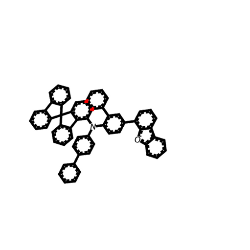 c1ccc(-c2ccc(N(c3ccc(-c4cccc5c4oc4ccccc45)cc3-c3ccccc3)c3cccc4c3-c3ccccc3C43c4ccccc4-c4ccccc43)cc2)cc1